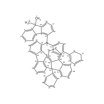 CC1(C)c2ccccc2-c2c(N(c3ccc(C4=CC=CCC4)cc3)c3cccc4c3sc3c(C5(c6ccccc6)C6=CCCC=C6c6ccccc65)cccc34)cccc21